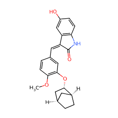 COc1ccc(/C=C2\C(=O)Nc3ccc(O)cc32)cc1O[C@H]1C[C@@H]2CC[C@H]1C2